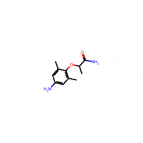 Cc1cc(N)cc(C)c1OC(C)C(N)=O